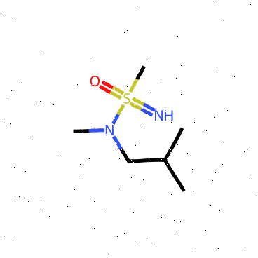 CC(C)CN(C)S(C)(=N)=O